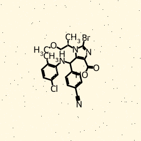 COC[C@@H](C)n1c(Br)nc(C(=O)O)c1C(Nc1cc(Cl)ccc1C)c1ccc(C#N)cc1